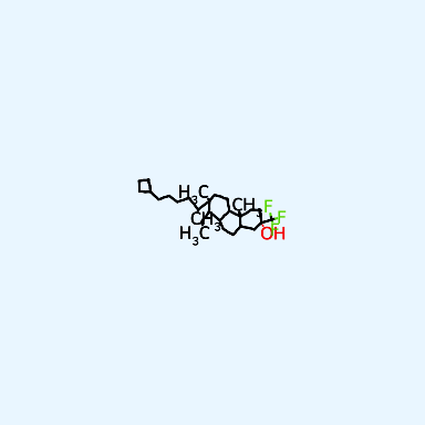 CCC1C2CCC3C[C@](O)(C(F)(F)F)CCC3(C)C2CCC1(C)C(C)CCCCC1CCC1